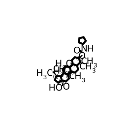 CC(C)[C@@H]1CC[C@]2(C(=O)O)CC[C@]3(C)C(CCC4[C@@]5(C)CC[C@@H](OC(=O)NC6CCCC6)C(C)(C)C5CC[C@]43C)C12